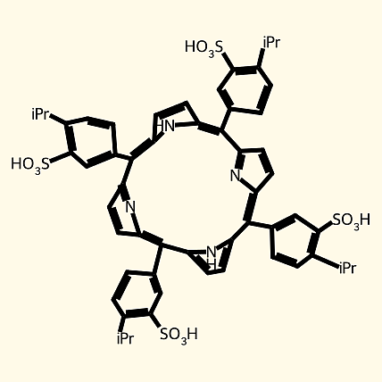 CC(C)c1ccc(-c2c3nc(c(-c4ccc(C(C)C)c(S(=O)(=O)O)c4)c4ccc([nH]4)c(-c4ccc(C(C)C)c(S(=O)(=O)O)c4)c4nc(c(-c5ccc(C(C)C)c(S(=O)(=O)O)c5)c5ccc2[nH]5)C=C4)C=C3)cc1S(=O)(=O)O